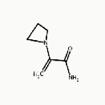 C=C(C(N)=O)N1CCC1